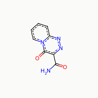 NC(=O)c1nnc2ccccn2c1=O